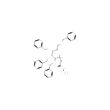 COC(=O)C1O[C@@]12OC(COCc1ccccc1)[C@@H](OCc1ccccc1)[C@@H](OCc1ccccc1)C2OCc1ccccc1